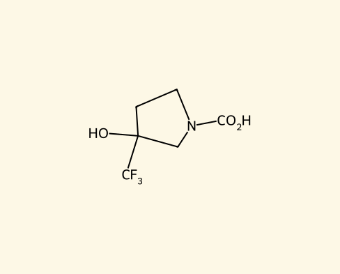 O=C(O)N1CCC(O)(C(F)(F)F)C1